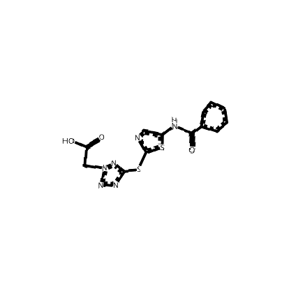 O=C(O)Cn1nnc(Sc2ncc(NC(=O)c3ccccc3)s2)n1